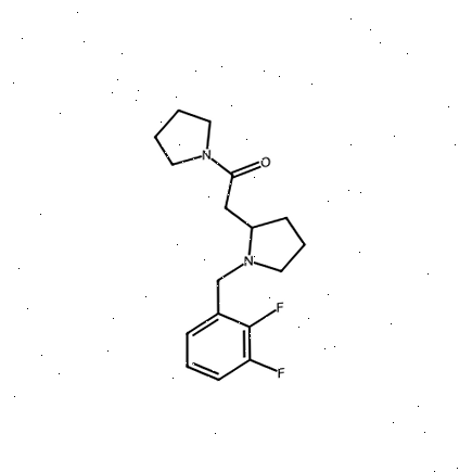 O=C(CC1CCCN1Cc1cccc(F)c1F)N1CCCC1